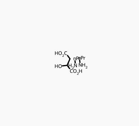 CCCN.CCCN.O=C(O)CC(O)C(=O)O